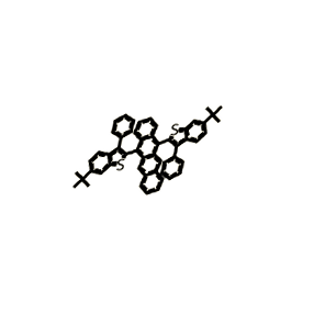 CC(C)(C)c1ccc2c(-c3ccccc3)c(-c3c4ccccc4c(-c4sc5cc(C(C)(C)C)ccc5c4-c4ccccc4)c4cc5ccccc5cc34)sc2c1